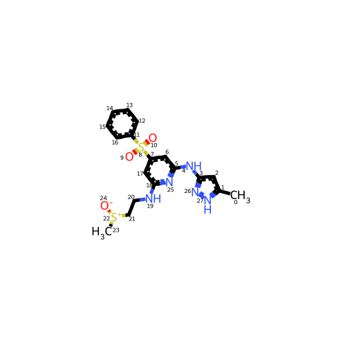 Cc1cc(Nc2cc(S(=O)(=O)c3ccccc3)cc(NCC[S+](C)[O-])n2)n[nH]1